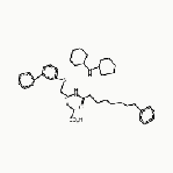 C1CCC(NC2CCCCC2)CC1.O=C(O)CC[C@@H](CSc1cccc(-c2ccccc2)c1)NC(=O)CCCCCCCc1ccccc1